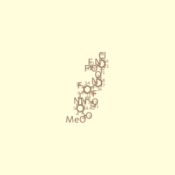 COC(=O)c1ccc2nc(Cc3cc(F)c(-c4cccc(OCc5ccc(Cl)nc5OC(F)F)n4)cc3F)n(C[C@@H]3CCO3)c2c1